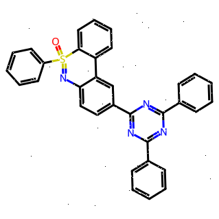 O=S1(c2ccccc2)=Nc2ccc(-c3nc(-c4ccccc4)nc(-c4ccccc4)n3)cc2-c2ccccc21